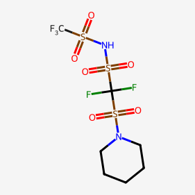 O=S(=O)(NS(=O)(=O)C(F)(F)S(=O)(=O)N1CCCCC1)C(F)(F)F